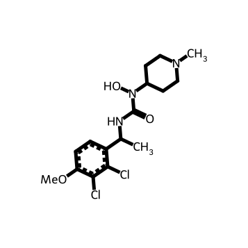 COc1ccc(C(C)NC(=O)N(O)C2CCN(C)CC2)c(Cl)c1Cl